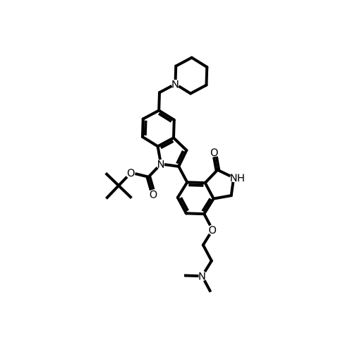 CN(C)CCOc1ccc(-c2cc3cc(CN4CCCCC4)ccc3n2C(=O)OC(C)(C)C)c2c1CNC2=O